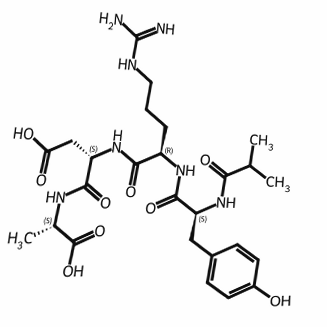 CC(C)C(=O)N[C@@H](Cc1ccc(O)cc1)C(=O)N[C@H](CCCNC(=N)N)C(=O)N[C@@H](CC(=O)O)C(=O)N[C@@H](C)C(=O)O